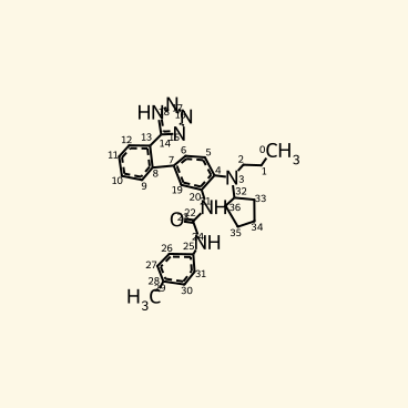 CCCN(c1ccc(-c2ccccc2-c2nnn[nH]2)cc1NC(=O)Nc1ccc(C)cc1)C1CCCC1